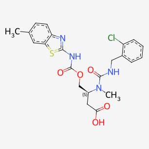 Cc1ccc2nc(NC(=O)OC[C@H](CC(=O)O)N(C)C(=O)NCc3ccccc3Cl)sc2c1